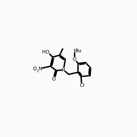 Cc1cn(Cc2c(Cl)cccc2OC(C)(C)C)c(=O)c([N+](=O)[O-])c1O